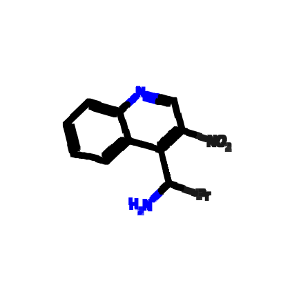 CC(C)C(N)c1c([N+](=O)[O-])cnc2ccccc12